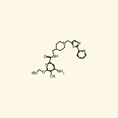 CC(C)(C)COc1nc(C(=O)NCC2CCN(Cc3cnc(-c4ccccn4)s3)CC2)cc(N)c1C#N